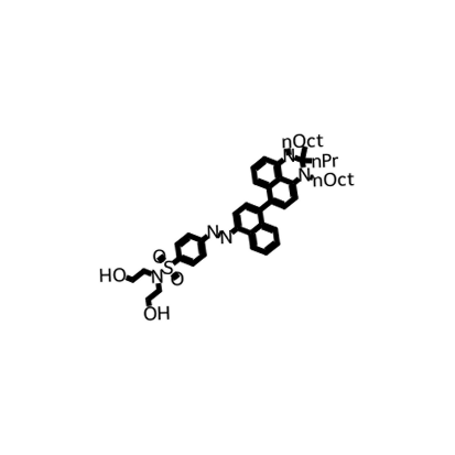 CCCCCCCCN1c2cccc3c(-c4ccc(N=Nc5ccc(S(=O)(=O)N(CCO)CCO)cc5)c5ccccc45)ccc(c23)N(CCCCCCCC)C1(C)CCC